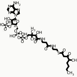 CCCCC(C)C(=O)CC(=O)SCCNC(=O)CCNC(=O)[C@H](O)C(C)(C)COP(=O)(O)OP(=O)(O)OC[C@H]1O[C@@H](n2cnc3c(N)ncnc32)[C@H](O)[C@@H]1OP(=O)(O)O